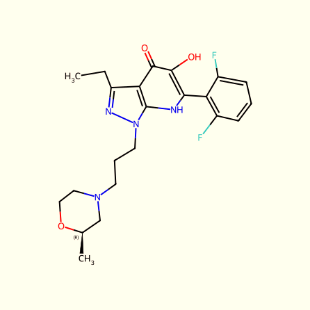 CCc1nn(CCCN2CCO[C@H](C)C2)c2[nH]c(-c3c(F)cccc3F)c(O)c(=O)c12